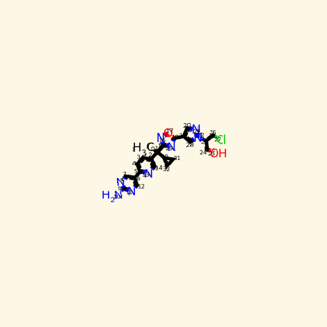 CC(c1ccc(-c2cnc(N)nc2)nc1)(c1noc(-c2cnn(C(CO)CCl)c2)n1)C1CC1